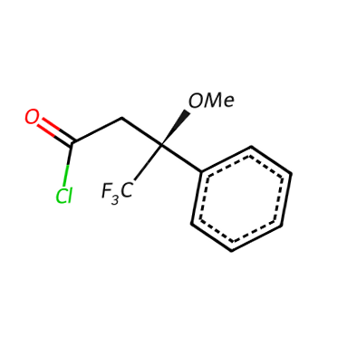 CO[C@@](CC(=O)Cl)(c1ccccc1)C(F)(F)F